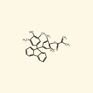 C=C(C)C(=O)Oc1c(C)cc(C2(c3cc(C)c(O)c(C)c3)c3ccccc3-c3ccccc32)cc1C